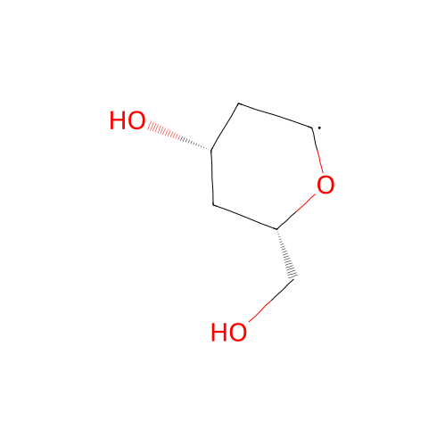 OC[C@@H]1C[C@H](O)C[CH]O1